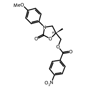 COc1ccc(N2C[C@](C)(COC(=O)c3ccc([N+](=O)[O-])cc3)OC2=O)cc1